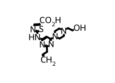 C=CCc1nc(Nc2ncc(C(=O)O)s2)cc(N2CCN(CCO)CC2)n1